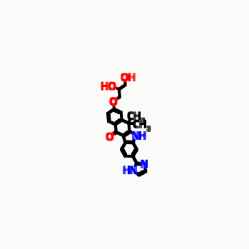 CC1(C)c2cc(OC[C@@H](O)CO)ccc2C(=O)c2c1[nH]c1cc(-c3ncc[nH]3)ccc21